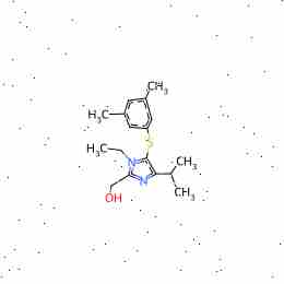 CCn1c(CO)nc(C(C)C)c1Sc1cc(C)cc(C)c1